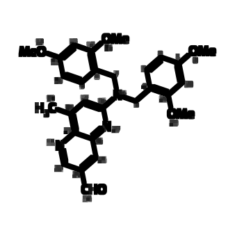 COc1ccc(CN(Cc2ccc(OC)cc2OC)c2cc(C)c3ncc(C=O)cc3n2)c(OC)c1